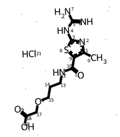 Cc1nc(NC(=N)N)sc1C(=O)NCCCOCC(=O)O.Cl